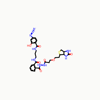 [N-]=[N+]=Nc1ccc(C(=O)NCCCNC(=O)c2ccccc2C(=O)NNC(=O)CCOCCC2SCC3NC(=O)NC32)c(O)c1